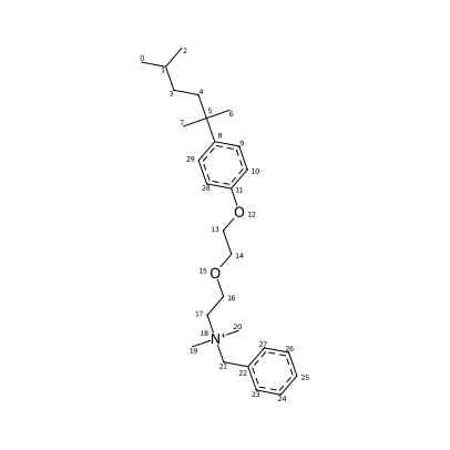 CC(C)CCC(C)(C)c1ccc(OCCOCC[N+](C)(C)Cc2ccccc2)cc1